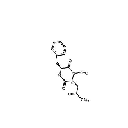 COC(=O)C[C@H]1C(=O)NC(=Cc2ccccc2)C(=O)N1C=O